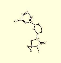 CN1C(=O)N(C2CCCN(c3cncc(Cl)c3)C2)CC12CC2